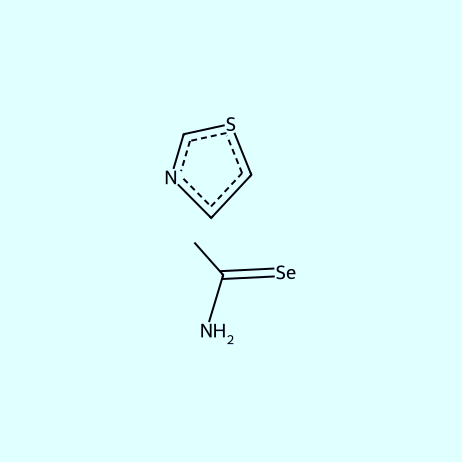 CC(N)=[Se].c1cscn1